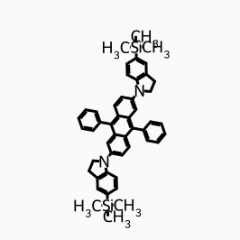 C[Si](C)(C)c1ccc2c(c1)CCN2c1ccc2c(-c3ccccc3)c3cc(N4CCc5cc([Si](C)(C)C)ccc54)ccc3c(-c3ccccc3)c2c1